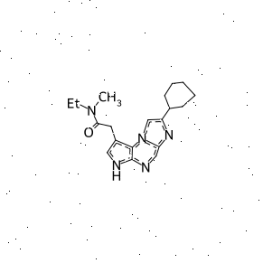 CCN(C)C(=O)Cc1c[nH]c2ncc3nc(C4CCCCC4)cn3c12